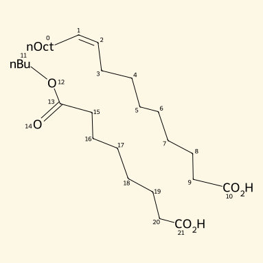 CCCCCCCC/C=C\CCCCCCCC(=O)O.CCCCOC(=O)CCCCCCC(=O)O